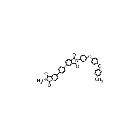 Cc1ccc(Oc2ccc(Oc3ccc(N4C(=O)c5ccc(-c6ccc(-c7ccc8c(c7)C(=O)N(C)C8=O)cc6)cc5C4=O)cc3)cc2)cc1